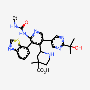 CCNC(=O)Nc1ncc(-c2cnc(C(C)(C)O)nc2)c(C2CC(C)(C(=O)O)CCN2)c1-c1cccc2ncsc12